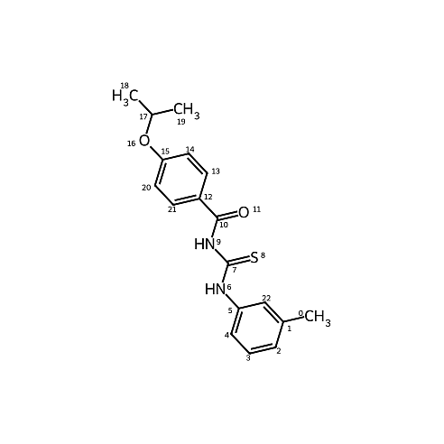 Cc1cccc(NC(=S)NC(=O)c2ccc(OC(C)C)cc2)c1